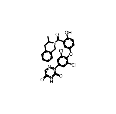 CC1Cc2ccccc2CN1C(=O)c1cc(Oc2c(Cl)cc(-n3ncc(=O)[nH]c3=O)cc2Cl)ccc1O